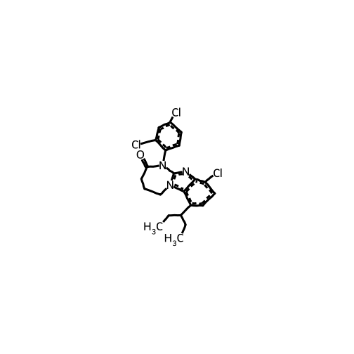 CCC(CC)c1ccc(Cl)c2nc3n(c12)CCCC(=O)N3c1ccc(Cl)cc1Cl